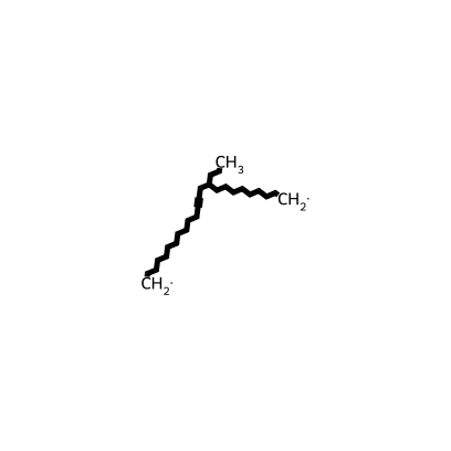 [CH2]CCCCCCCCCCC#CCC(CCC)CCCCCCCC[CH2]